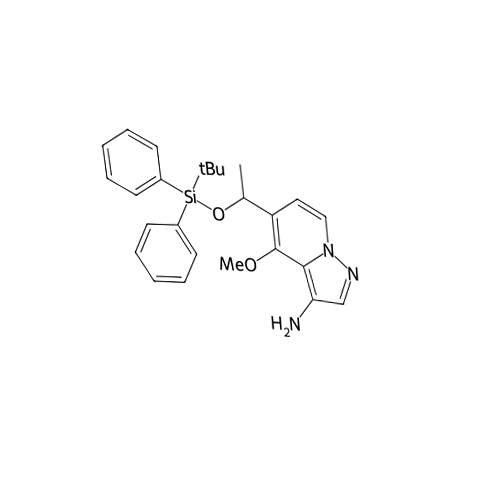 COc1c(C(C)O[Si](c2ccccc2)(c2ccccc2)C(C)(C)C)ccn2ncc(N)c12